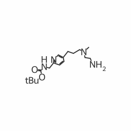 CN(CCN)CCCc1ccc(CNC(=O)OC(C)(C)C)nc1